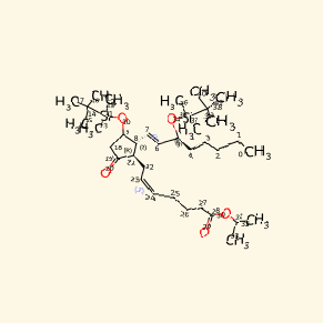 CCCCC[C@@H](/C=C/[C@H]1C(O[Si](C)(C)C(C)(C)C)CC(=O)[C@@H]1C/C=C\CCCC(=O)OC(C)C)O[Si](C)(C)C(C)(C)C